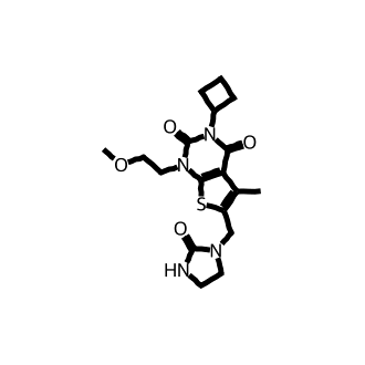 COCCn1c(=O)n(C2CCC2)c(=O)c2c(C)c(CN3CCNC3=O)sc21